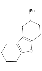 CC(C)(C)C1CCc2oc3c(c2C1)CCCC3